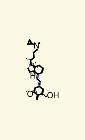 C=C1[C@H](CO)C/C(=C/C=C2\CCC[C@]3(C)[C@@H]([C@H](C)CCCN(C)C4CC4)CC[C@@H]23)C[C@H]1OC